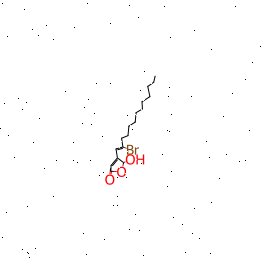 CCCCCCCCCCCC(Br)=CC1=CC(=O)OC1O